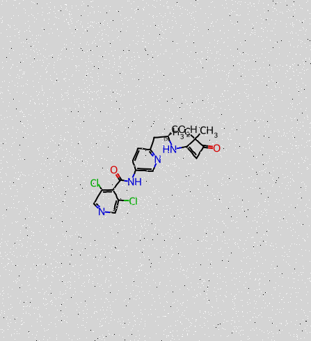 CC1(C)C(=O)C=C1N[C@@H](Cc1ccc(NC(=O)c2c(Cl)cncc2Cl)cn1)C(=O)O